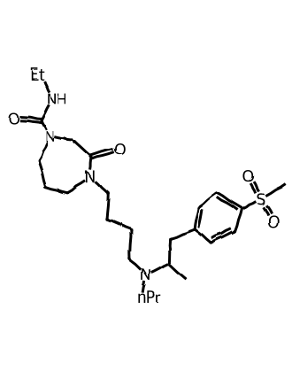 CCCN(CCCCN1CCCN(C(=O)NCC)CC1=O)C(C)Cc1ccc(S(C)(=O)=O)cc1